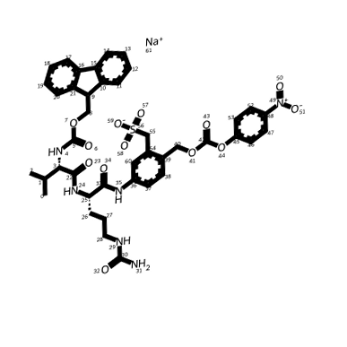 CC(C)[C@H](NC(=O)OCC1c2ccccc2-c2ccccc21)C(=O)N[C@@H](CCCNC(N)=O)C(=O)Nc1ccc(COC(=O)Oc2ccc([N+](=O)[O-])cc2)c(CS(=O)(=O)[O-])c1.[Na+]